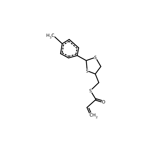 C=CC(=O)SCC1CSC(c2ccc(C)cc2)S1